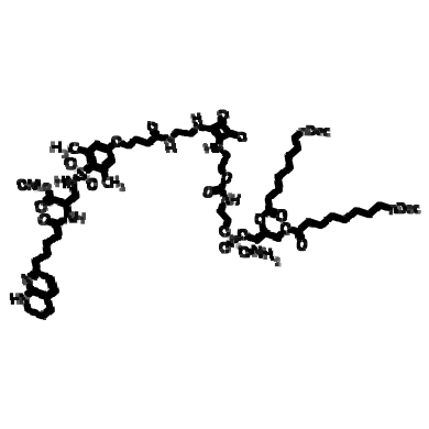 CCCCCCCCCCCCCCCCCC(=O)OCC(COP(=O)(ON)OCCNC(=O)OCCNc1c(NCCNC(=O)CCCOc2cc(C)c(S(=O)(=O)NCC(NC(=O)CCCCc3ccc4c(n3)NCCC4)C(=O)OC)c(C)c2)c(=O)c1=O)OC(=O)CCCCCCCCCCCCCCCCC